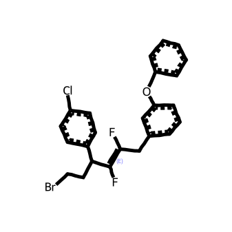 F/C(Cc1cccc(Oc2ccccc2)c1)=C(/F)C(CCBr)c1ccc(Cl)cc1